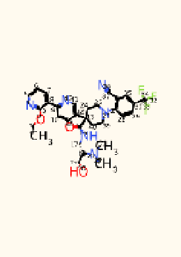 CCOc1ncccc1-c1ccc(C2(C(=O)NC[C@@H](CO)N(C)C)CCN(c3ccc(C(F)(F)F)cc3C#N)CC2)cn1